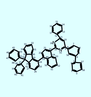 c1ccc(-c2cccc(-c3cc(-c4ccccc4)nc(-c4ccc(-c5cccc6c5-c5ccccc5C6(c5ccccc5)c5ccccc5)c5ccccc45)n3)c2)cc1